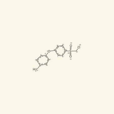 Cc1ccc(Oc2ccc(S(=O)(=O)CCl)cc2)cc1